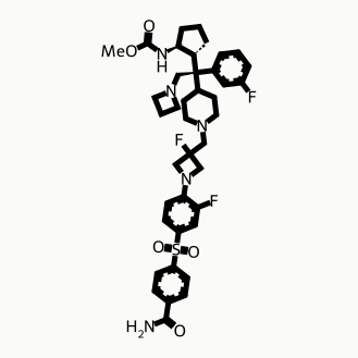 COC(=O)N[C@H]1CCC[C@@H]1[C@](CN1CCC1)(c1cccc(F)c1)C1CCN(CC2(F)CN(c3ccc(S(=O)(=O)c4ccc(C(N)=O)cc4)cc3F)C2)CC1